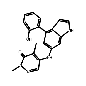 Cc1c(Nc2cc(-c3ccccc3O)c3cc[nH]c3c2)cnn(C)c1=O